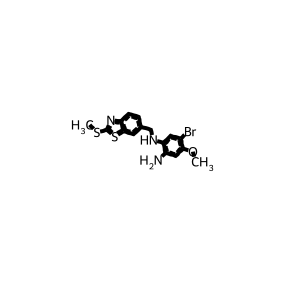 COc1cc(N)c(NCc2ccc3nc(SC)sc3c2)cc1Br